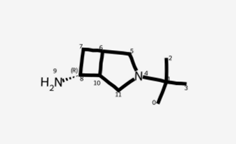 CC(C)(C)N1CC2C[C@@H](N)C2C1